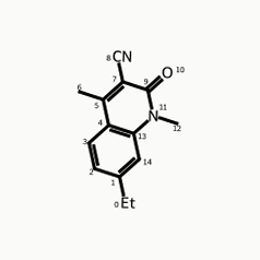 CCc1ccc2c(C)c(C#N)c(=O)n(C)c2c1